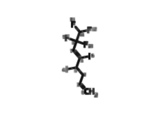 C=CCC(I)C(I)=CC(F)(F)C(F)F